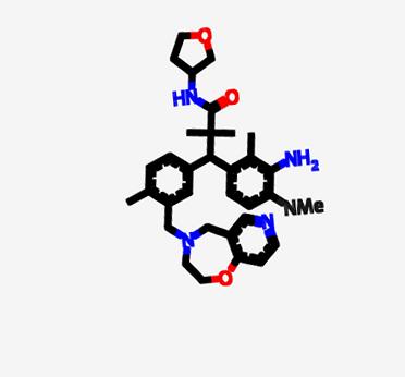 CNc1ccc(C(c2ccc(C)c(CN3CCOc4ccncc4C3)c2)C(C)(C)C(=O)NC2CCOC2)c(C)c1N